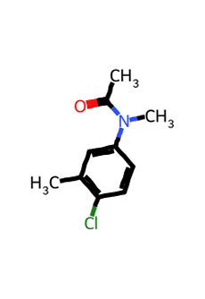 CC(=O)N(C)c1ccc(Cl)c(C)c1